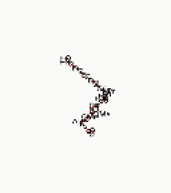 C=CC1CC(c2ccc(NC(=O)C(C)NC(=O)C(NC(=O)CCOCCOCCOCCOCCOCCOCCOCCOCCNC(=O)CC)C(C)C)cc2)=CN1C(=O)c1cc(OC)c(OCCCOc2cc(/N=C\C(C)C/C(=C\C)c3ccc4c(c3)OCO4)c(C(C)=O)cc2OC)cc1C